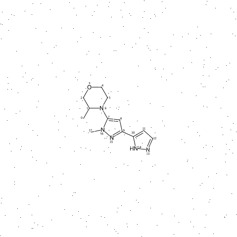 CC1COCCN1c1cc(-c2ccn[nH]2)nn1C